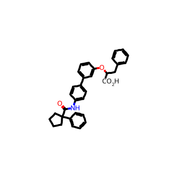 O=C(O)C(Cc1ccccc1)Oc1cccc(-c2ccc(NC(=O)C3(c4ccccc4)CCCC3)cc2)c1